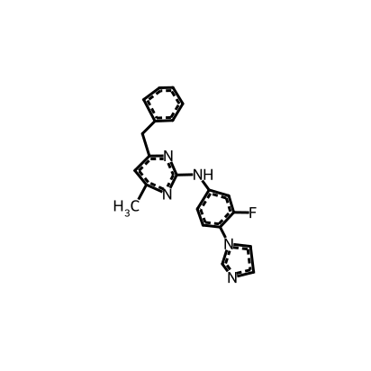 Cc1cc(Cc2ccccc2)nc(Nc2ccc(-n3ccnc3)c(F)c2)n1